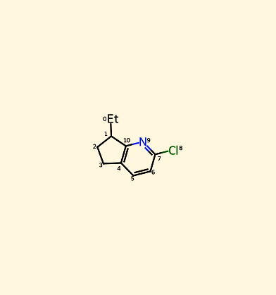 CCC1CCc2ccc(Cl)nc21